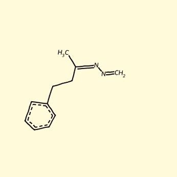 C=N/N=C(/C)CCc1ccccc1